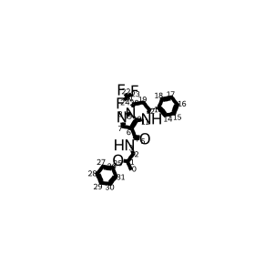 CC(CNC(=O)c1cnn2c1N[C@@H](c1ccccc1)C[C@H]2C(F)(F)F)Oc1ccccc1